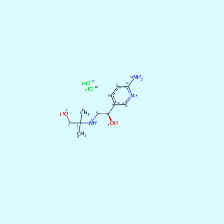 CC(C)(CO)NC[C@H](O)c1ccc(N)nc1.Cl.Cl